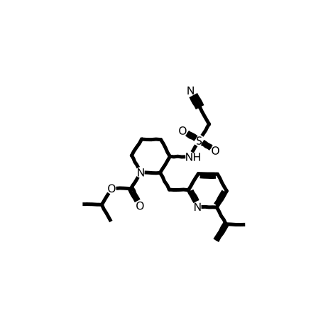 C=C(C)c1cccc(CC2C(NS(=O)(=O)CC#N)CCCN2C(=O)OC(C)C)n1